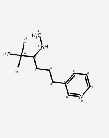 CNC(CCCc1cccnc1)C(F)(F)F